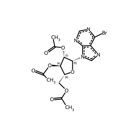 CC(=O)OC[C@H]1O[C@@H](n2cnc3c(Br)ncnc32)[C@@H](OC(C)=O)[C@@H]1OC(C)=O